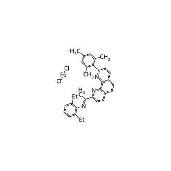 CCc1cccc(CC)c1N=C(C)c1ccc2ccc3ccc(-c4c(C)cc(C)cc4C)nc3c2n1.[Cl][Fe][Cl]